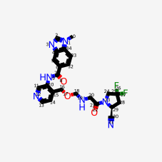 Cn1cnc2cc(C(=O)Nc3cnccc3COCNCC(=O)N3CC(F)(F)C[C@H]3C#N)ccc21